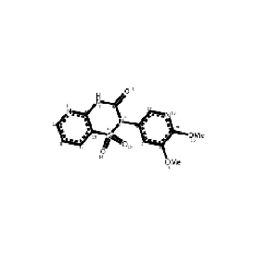 COc1cc(N2C(=O)Nc3ncccc3S2(=O)=O)cnc1OC